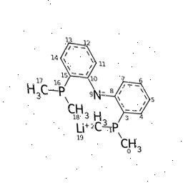 CP(C)c1ccccc1[N-]c1ccccc1P(C)C.[Li+]